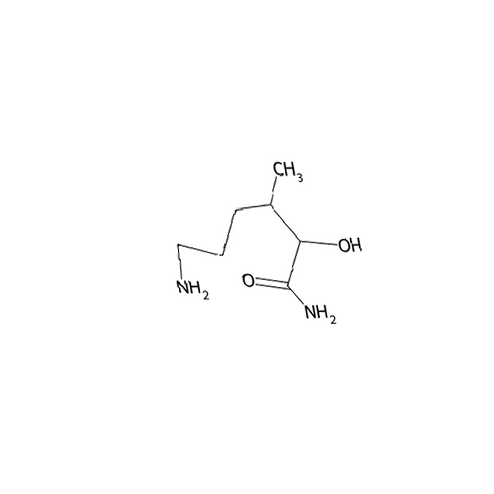 CC(CCCN)C(O)C(N)=O